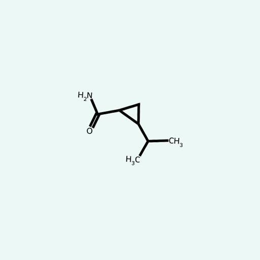 CC(C)C1CC1C(N)=O